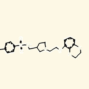 O=S(=O)(NCC1CCN(CCOc2cccc3c2OCCO3)C1)c1ccc(Br)cc1